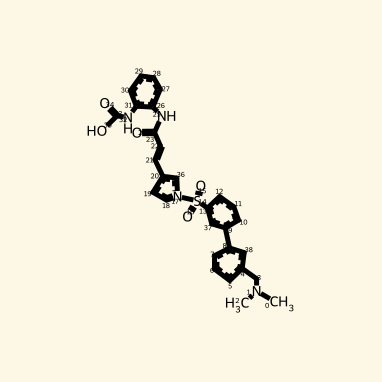 CN(C)Cc1cccc(-c2cccc(S(=O)(=O)n3ccc(C=CC(=O)Nc4ccccc4NC(=O)O)c3)c2)c1